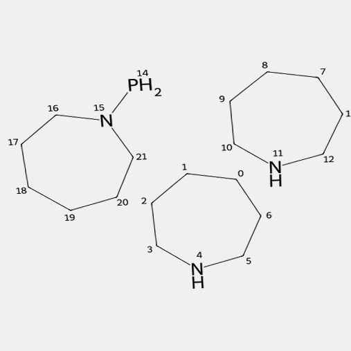 C1CCCNCC1.C1CCCNCC1.PN1CCCCCC1